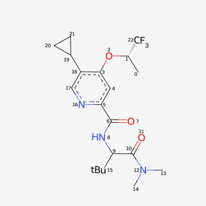 C[C@H](Oc1cc(C(=O)NC(C(=O)N(C)C)C(C)(C)C)ncc1C1CC1)C(F)(F)F